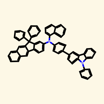 c1ccc(-n2c3ccccc3c3cc(-c4ccc(N(c5ccc6c(c5)C(c5ccccc5)(c5ccccc5)c5cc7ccccc7cc5-6)c5cccc6ccccc56)cc4)ccc32)cc1